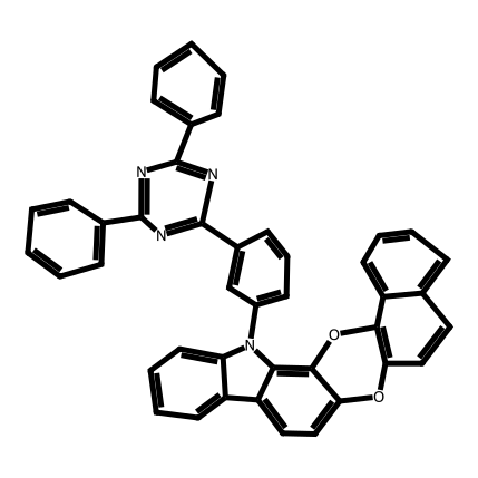 c1ccc(-c2nc(-c3ccccc3)nc(-c3cccc(-n4c5ccccc5c5ccc6c(c54)Oc4c(ccc5ccccc45)O6)c3)n2)cc1